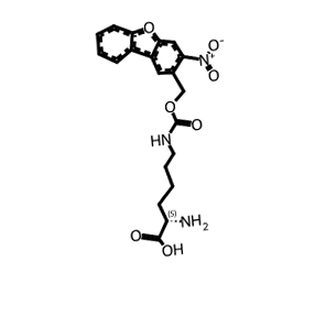 N[C@@H](CCCCNC(=O)OCc1cc2c(cc1[N+](=O)[O-])oc1ccccc12)C(=O)O